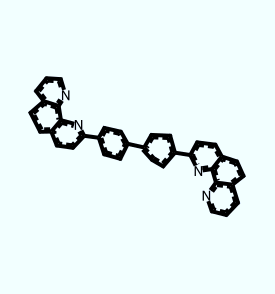 c1cnc2c(c1)ccc1ccc(-c3ccc(-c4ccc(-c5ccc6ccc7cccnc7c6n5)cc4)cc3)nc12